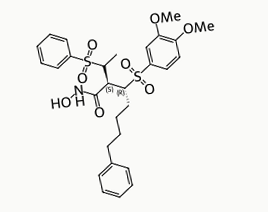 COc1ccc(S(=O)(=O)[C@H](CCCCc2ccccc2)[C@@H](C(=O)NO)C(C)S(=O)(=O)c2ccccc2)cc1OC